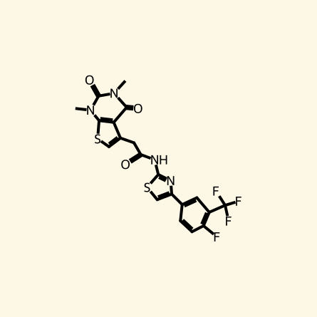 Cn1c(=O)c2c(CC(=O)Nc3nc(-c4ccc(F)c(C(F)(F)F)c4)cs3)csc2n(C)c1=O